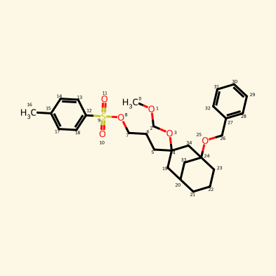 COCOC1(CCCOS(=O)(=O)c2ccc(C)cc2)CC2CCCC(OCc3ccccc3)(C2)C1